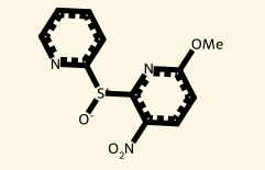 COc1ccc([N+](=O)[O-])c([S+]([O-])c2ccccn2)n1